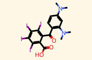 CN(C)c1ccc(C(=O)c2c(I)c(I)c(I)c(I)c2C(=O)O)c(N(C)C)c1